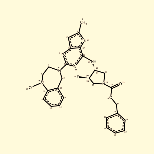 Cc1cc2nc(N3CC[S+]([O-])c4ccccc4C3)nc(N[C@@H]3CN(C(=O)OCc4ccccc4)C[C@H]3F)c2s1